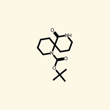 CC(C)(C)OC(=O)N1CCCCC12CCCNC2=O